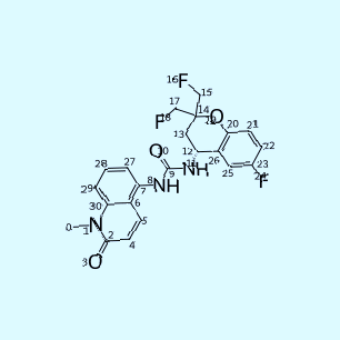 Cn1c(=O)ccc2c(NC(=O)N[C@@H]3CC(CF)(CF)Oc4ccc(F)cc43)cccc21